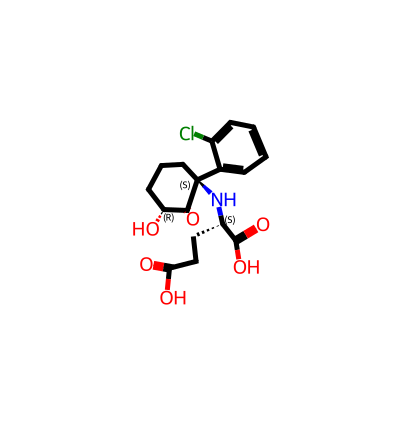 O=C(O)CC[C@H](N[C@]1(c2ccccc2Cl)CCC[C@@H](O)C1=O)C(=O)O